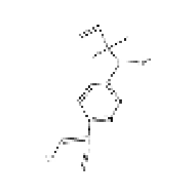 C=C/C(=C\CC)c1ccc(C(CCC)C(C)(C)C=C)cn1